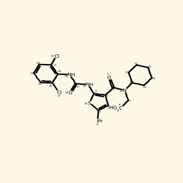 CC(C)c1cc(C(=O)N(CC(=O)O)C2CCCCC2)c(NC(=O)Nc2c(Cl)cccc2Cl)s1